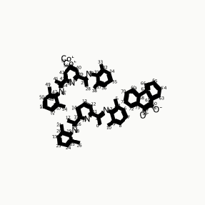 CC(=Nc1c(C)cccc1C)c1cccc(C(C)=Nc2c(C)cccc2C)n1.CC(=Nc1c(C)cccc1C)c1cccc(C(C)=Nc2c(C)cccc2C)n1.[Co+].[Co+].[O-]c1c([O-])c2ccccc2c2ccccc12